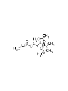 CC=CC(=O)OCCC[Si](CC)(OC(C)C)OC(C)C